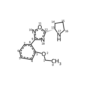 CCOc1ccccc1-c1noc([C@@H]2CCCN2)n1